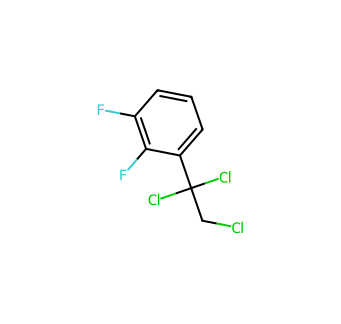 Fc1cccc(C(Cl)(Cl)CCl)c1F